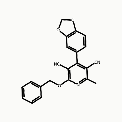 N#Cc1c(I)nc(OCc2ccccc2)c(C#N)c1-c1ccc2c(c1)OCO2